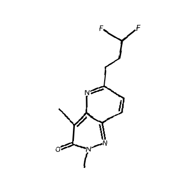 Cc1c(=O)n(C)nc2ccc(CCC(F)F)nc12